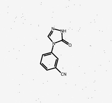 N#Cc1cccc(-n2cn[nH]c2=O)c1